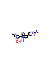 Cc1cn2c(OO)cc(-c3[nH]c4ccc(C5CCN(CC(=O)N(C)C)CC5)cc4c3C(C)C)cc2n1